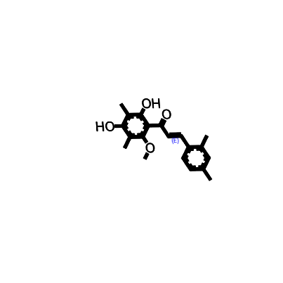 COc1c(C)c(O)c(C)c(O)c1C(=O)/C=C/c1ccc(C)cc1C